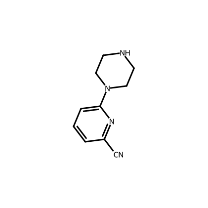 N#Cc1cccc(N2CCNCC2)n1